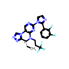 CC[C@@H]1c2nncn2-c2cnc(-n3ccnc3-c3cccc(F)c3F)nc2N1CCC(F)(F)F